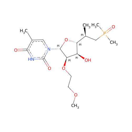 COCCO[C@@H]1[C@H](O)[C@@H]([C@@H](C)CP(C)(C)=O)O[C@H]1n1cc(C)c(=O)[nH]c1=O